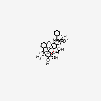 CC(=O)NC1C(O[C@@H](CC2CCCCC2)C(N)=O)[C@@H](O)[C@H](CO)O[C@H]1O[C@@H]1CCCC(C(F)F)C1OC1O[C@@H](C)C(O)[C@H](O)[C@@H]1O